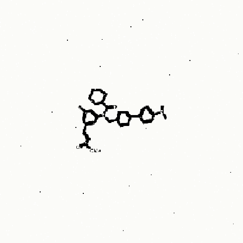 COC(=O)/C=C/c1cc(C)cc(N(Cc2ccc(-c3ccc(N(C)C)cc3)cc2)C(=O)C2CCCCC2)c1